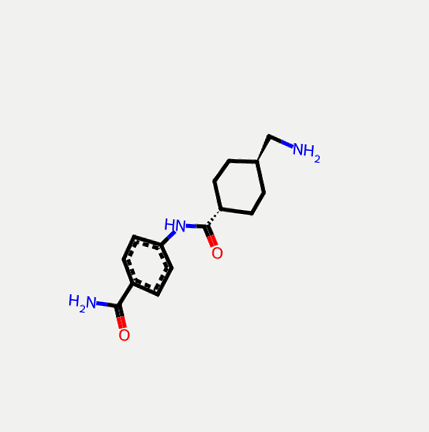 NC[C@H]1CC[C@H](C(=O)Nc2ccc(C(N)=O)cc2)CC1